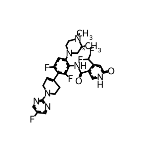 C[C@H]1CN(c2cc(F)c(C3=CCN(c4ncc(F)cn4)CC3)c(F)c2NC(=O)c2c[nH]c(=O)cc2C(F)F)CCN1C